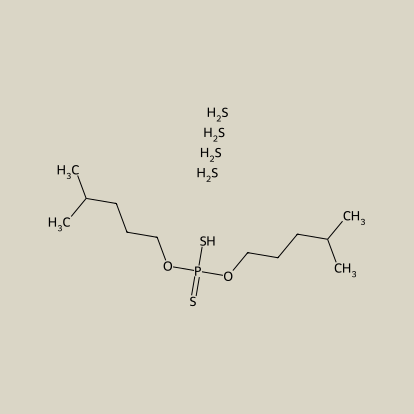 CC(C)CCCOP(=S)(S)OCCCC(C)C.S.S.S.S